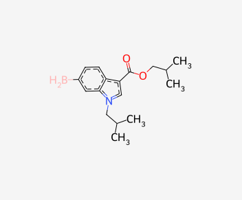 Bc1ccc2c(C(=O)OCC(C)C)cn(CC(C)C)c2c1